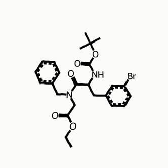 CCOC(=O)CN(Cc1ccccc1)C(=O)C(Cc1cccc(Br)c1)NC(=O)OC(C)(C)C